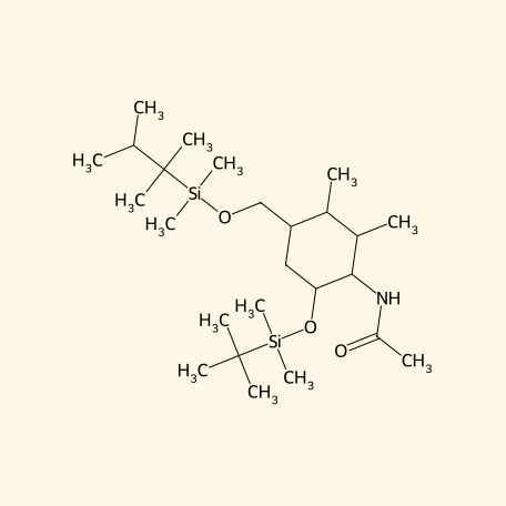 CC(=O)NC1C(O[Si](C)(C)C(C)(C)C)CC(CO[Si](C)(C)C(C)(C)C(C)C)C(C)C1C